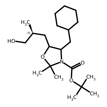 C[C@H](CO)CC1OC(C)(C)N(C(=O)OC(C)(C)C)C1CC1CCCCC1